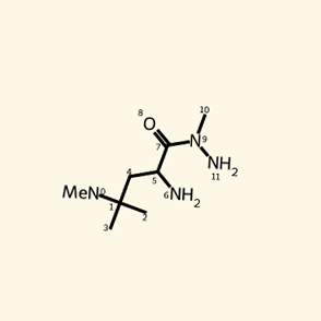 CNC(C)(C)CC(N)C(=O)N(C)N